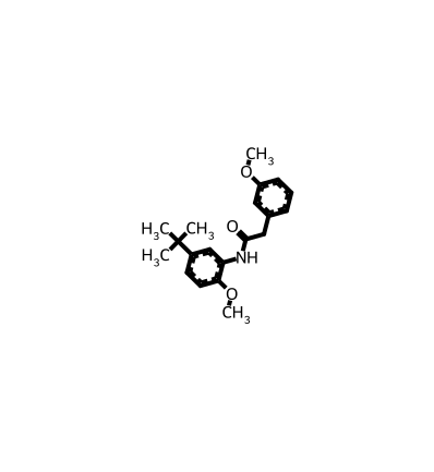 COc1cccc(CC(=O)Nc2cc(C(C)(C)C)ccc2OC)c1